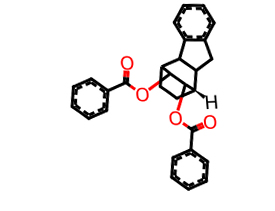 O=C(OC1C2CC[C@@H](C3Cc4ccccc4C23)C1OC(=O)c1ccccc1)c1ccccc1